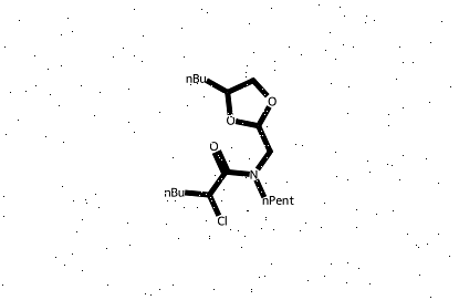 CCCCCN(CC1OCC(CCCC)O1)C(=O)C(Cl)CCCC